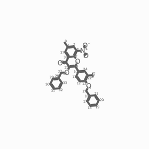 Cc1cc([N+](=O)[O-])c2oc(-c3ccc(OCc4ccccc4)c(F)c3)c(OCc3ccccc3)c(=O)c2c1